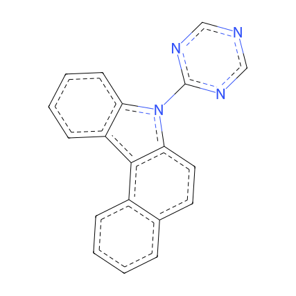 c1ccc2c(c1)ccc1c2c2ccccc2n1-c1ncncn1